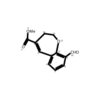 COC(=O)C1=Cc2cccc(C=O)c2OCC1